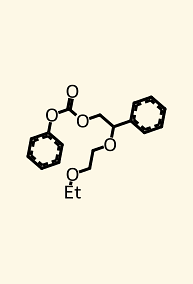 CCOCCOC(COC(=O)Oc1ccccc1)c1ccccc1